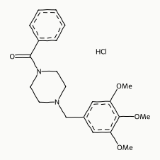 COc1cc(CN2CCN(C(=O)c3ccccc3)CC2)cc(OC)c1OC.Cl